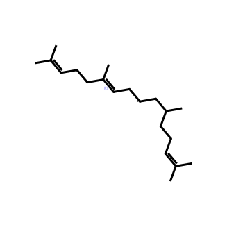 CC(C)=CCC/C(C)=C/C[CH]CC(C)CCC=C(C)C